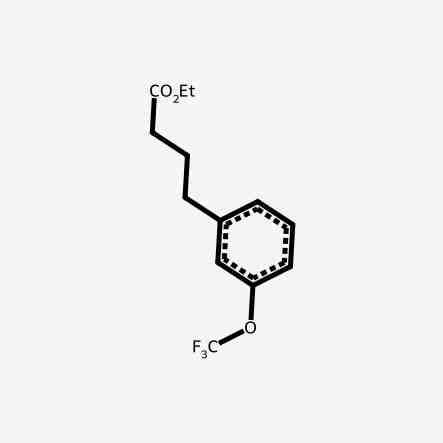 CCOC(=O)CCCc1cccc(OC(F)(F)F)c1